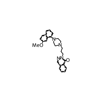 COc1ccc2cccc(N3CCN(CCCn4ncc5ccccc5c4=O)CC3)c2c1